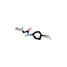 COCC(=O)Nc1ccc([N+](=O)[O-])cc1